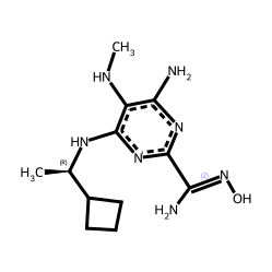 CNc1c(N)nc(/C(N)=N/O)nc1N[C@H](C)C1CCC1